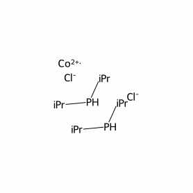 CC(C)PC(C)C.CC(C)PC(C)C.[Cl-].[Cl-].[Co+2]